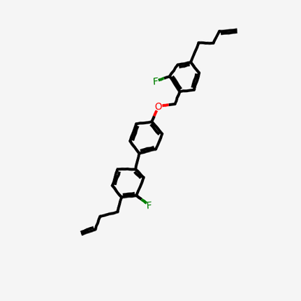 C=CCCc1ccc(COc2ccc(-c3ccc(CCC=C)c(F)c3)cc2)c(F)c1